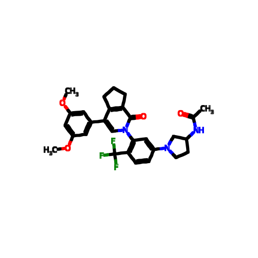 COc1cc(OC)cc(-c2cn(-c3cc(N4CCC(NC(C)=O)C4)ccc3C(F)(F)F)c(=O)c3c2CCC3)c1